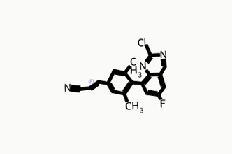 Cc1cc(/C=C/C#N)cc(C)c1-c1cc(F)cc2cnc(Cl)nc12